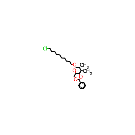 CC1C(OCCCCCCCCCCCl)OC2COC(c3ccccc3)OC2C1C